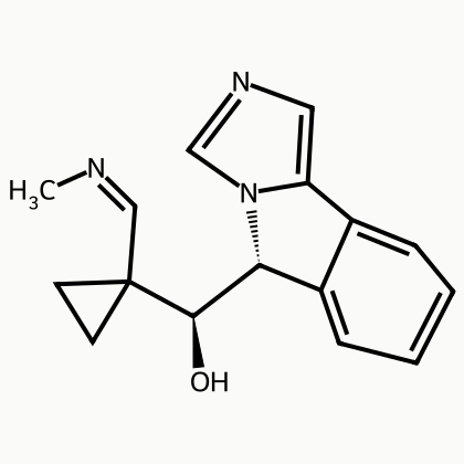 C/N=C\C1([C@H](O)[C@H]2c3ccccc3-c3cncn32)CC1